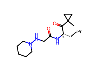 CC(C)C[C@H](NC(=O)CNN1CCCCC1)C(=O)C1(C)CC1